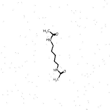 CC(=O)NCCCCCNC(C)=O